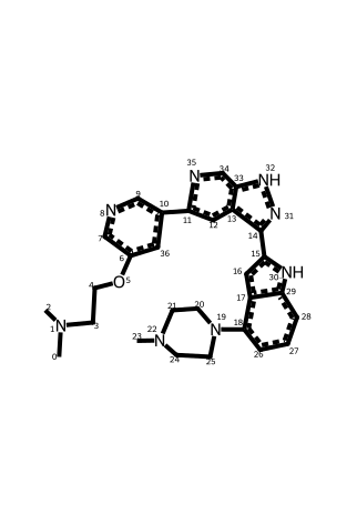 CN(C)CCOc1cncc(-c2cc3c(-c4cc5c(N6CCN(C)CC6)cccc5[nH]4)n[nH]c3cn2)c1